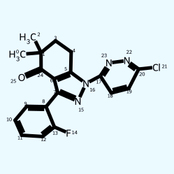 CC1(C)CCc2c(c(-c3ccccc3F)nn2-c2ccc(Cl)nn2)C1=O